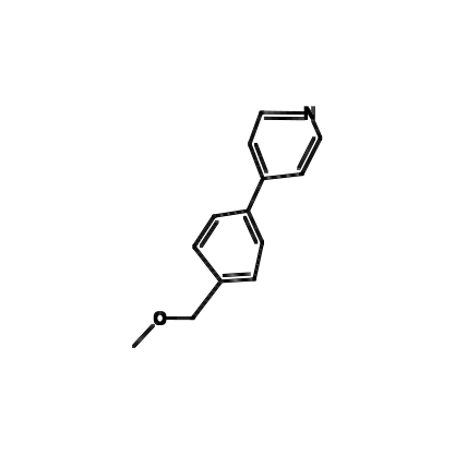 COCc1ccc(-c2ccncc2)cc1